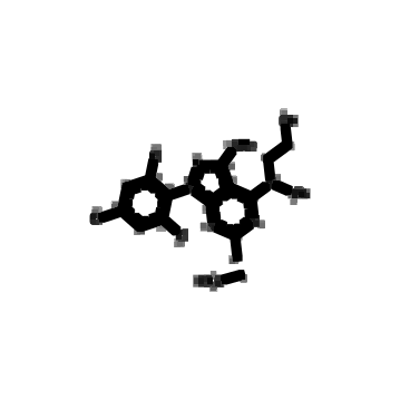 CC(=O)O.CCCCN(CCO)c1nc(C)nc2c1c(SC)nn2-c1c(Cl)cc(Cl)cc1Cl